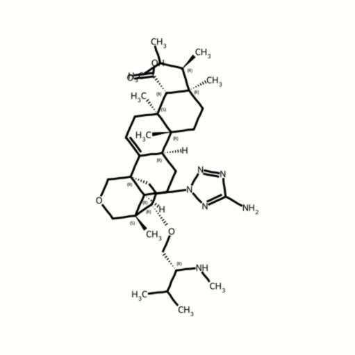 CN[C@@H](CO[C@H]1C(n2nnc(N)n2)C[C@@]23COC[C@]1(C)[C@@H]2CC[C@H]1C3=CC[C@@]2(C)[C@H](C(=O)O)[C@@](C)([C@H](C)C(C)C)CC[C@]12C)C(C)C